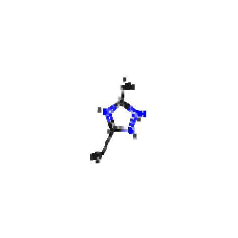 CCCCc1nc(CCC)n[nH]1